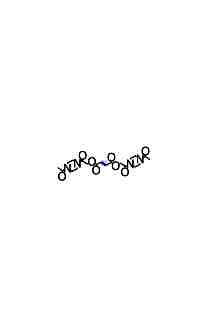 CC(=O)N1CCN(C(=O)COC(=O)/C=C/C(=O)OCC(=O)N2CCN(C(C)=O)CC2)CC1